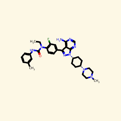 CCN(C(=O)Nc1cccc(C)c1)c1ccc(-c2nn([C@H]3CC[C@@H](N4CCN(C)CC4)CC3)c3ncnc(N)c23)cc1F